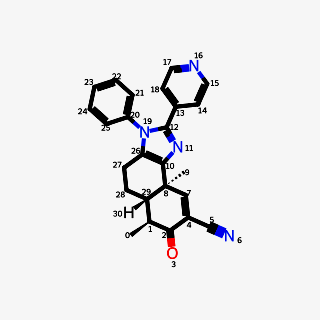 C[C@@H]1C(=O)C(C#N)=C[C@]2(C)c3nc(-c4ccncc4)n(-c4ccccc4)c3CC[C@@H]12